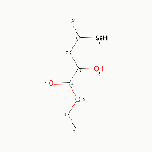 CCOC(=O)C(O)CC(C)[SeH]